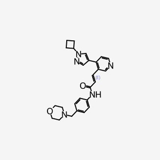 O=C(/C=C/c1cnccc1-c1cnn(C2CCC2)c1)Nc1ccc(CN2CCOCC2)cc1